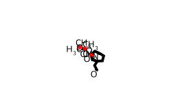 COCOC1CC2CCC(CC=O)(C1)N2C(=O)OC(C)(C)C